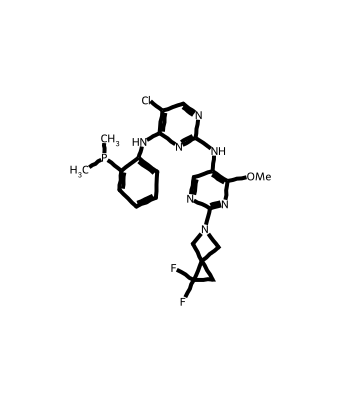 COc1nc(N2CC3(C2)CC3(F)F)ncc1Nc1ncc(Cl)c(Nc2ccccc2P(C)C)n1